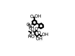 CC(=O)NC1[C@H](Oc2ccccc2-c2cc(C(=O)O)cc([N+](=O)[O-])c2)OC(CO)[C@H](O)[C@@H]1O